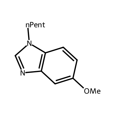 CCCCCn1cnc2cc(OC)ccc21